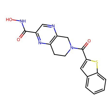 O=C(NO)c1cnc2c(n1)CCN(C(=O)c1cc3ccccc3s1)C2